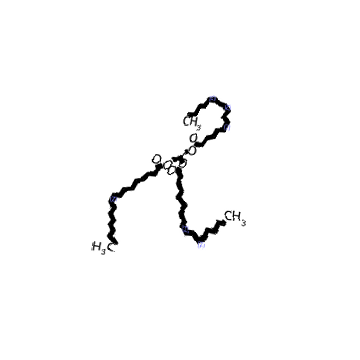 CCCCC/C=C\C/C=C\C/C=C\CCCCC(=O)OC[C@@H](COC(=O)CCCCCCC/C=C\CCCCCCCC)OC(=O)CCCCCCC/C=C\C/C=C\CCCCC